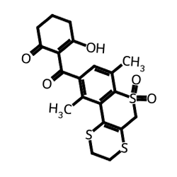 Cc1cc(C(=O)C2=C(O)CCCC2=O)c(C)c2c1S(=O)(=O)CC1=C2SCCS1